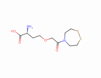 N[C@@H](CCOCC(=O)N1CCSSCC1)C(=O)O